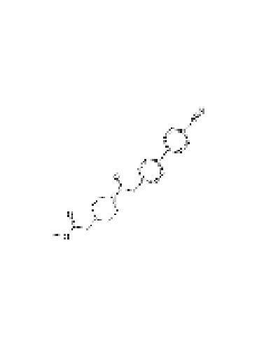 COC(=O)CC1CCN(C(=O)Cc2ccc(-c3ccc(C#N)cc3)cc2)CC1